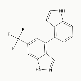 FC(F)(F)c1cc(-c2cccc3[nH]ccc23)c2cn[nH]c2c1